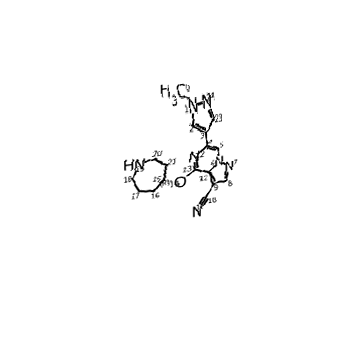 Cn1cc(-c2cn3ncc(C#N)c3c(O[C@@H]3CCCNCC3)n2)cn1